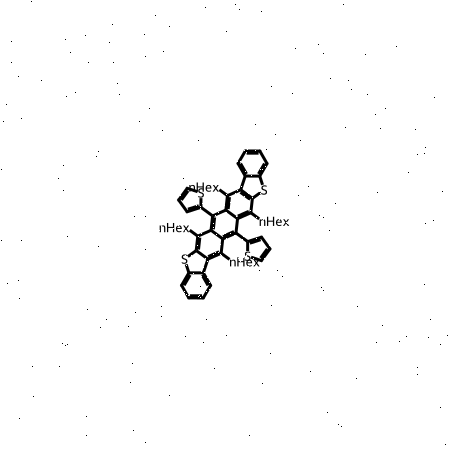 CCCCCCc1c2sc3ccccc3c2c(CCCCCC)c2c(-c3cccs3)c3c(CCCCCC)c4sc5ccccc5c4c(CCCCCC)c3c(-c3cccs3)c12